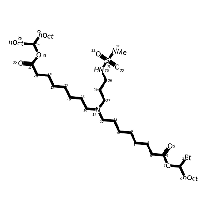 CCCCCCCCC(CC)OC(=O)CCCCCCCN(CCCCCCCC(=O)OC(CCCCCCCC)CCCCCCCC)CCCNS(=O)(=O)NC